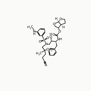 CNc1cccc(S(=O)(=O)N(C[C@@H](O)[C@H](Cc2ccccc2)NC(=O)O[C@H]2CO[C@H]3OCC[C@H]32)CC(C)(C)CCC#N)c1